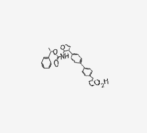 CC(OC(=O)Nc1occc1-c1ccc(-c2ccc(CC(=O)O)cc2)cc1)c1ccccc1